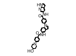 O=C(Nc1cnc2[nH]ccc2c1)c1ccc(-n2ccc3cc(NC(=O)c4ccc(N5CCC(O)CC5)cc4)ccc32)cc1